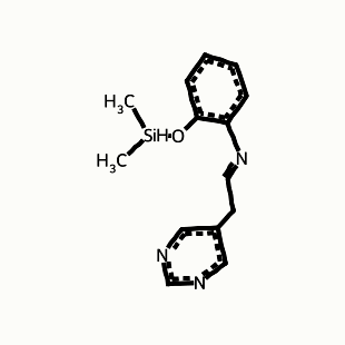 C[SiH](C)Oc1ccccc1N=CCc1cncnc1